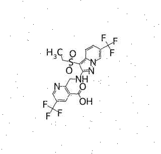 CCS(=O)(=O)c1c(NCc2ncc(C(F)(F)F)cc2C(=O)O)nn2cc(C(F)(F)F)ccc12